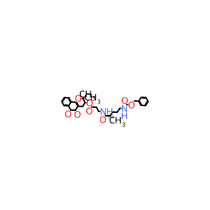 C[C@@H](CCCNC(=O)OCc1ccccc1)C(=O)NCCC(=O)OC1CC2=C(OC1(C)C)c1ccccc1C(=O)C2=O